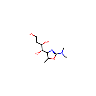 CCN(C)C1=NC([C@@H](O)[C@H](O)CCO)C(C)O1